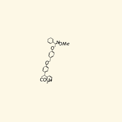 CO/N=C(\COc1ccc(COc2ccc(C(CC(=O)O)c3ccccc3)cc2)cc1)C1=CCCC=C1